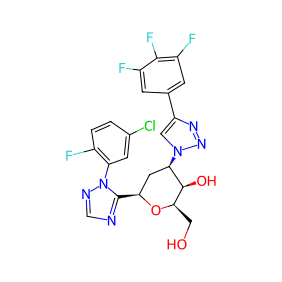 OC[C@H]1O[C@@H](c2ncnn2-c2cc(Cl)ccc2F)C[C@@H](n2cc(-c3cc(F)c(F)c(F)c3)nn2)[C@H]1O